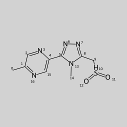 Cc1cnc(-c2nnc(C[SH](=O)=O)n2C)cn1